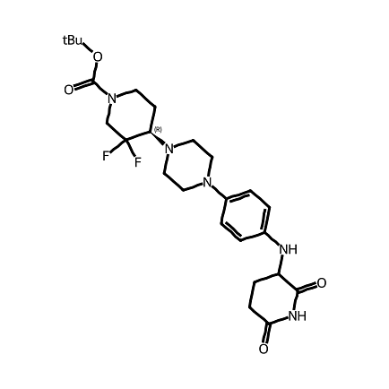 CC(C)(C)OC(=O)N1CC[C@@H](N2CCN(c3ccc(NC4CCC(=O)NC4=O)cc3)CC2)C(F)(F)C1